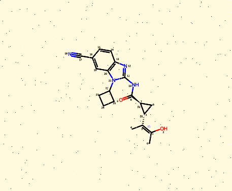 C/C(O)=C(\C)[C@H]1C[C@@H]1C(=O)Nc1nc2ccc(C#N)cc2n1C1CCC1